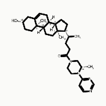 CC(CCC(=O)N1CCN(c2ccncn2)[C@@H](C)C1)[C@H]1CC[C@H]2[C@@H]3CC=C4C[C@@H](O)CC[C@]4(C)[C@H]3CC[C@]12C